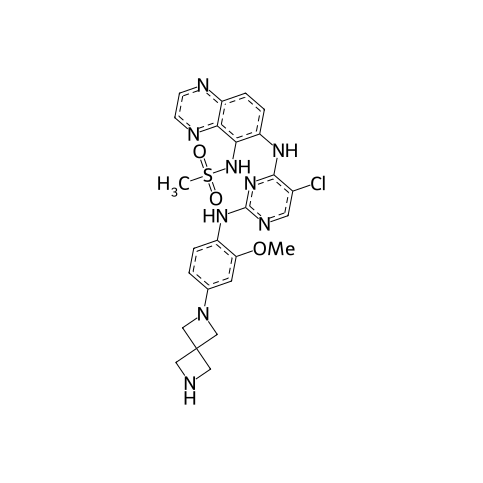 COc1cc(N2CC3(CNC3)C2)ccc1Nc1ncc(Cl)c(Nc2ccc3nccnc3c2NS(C)(=O)=O)n1